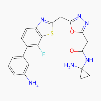 Nc1cccc(-c2ccc3nc(Cc4nnc(CC(=O)NC5(N)CC5)o4)sc3c2F)c1